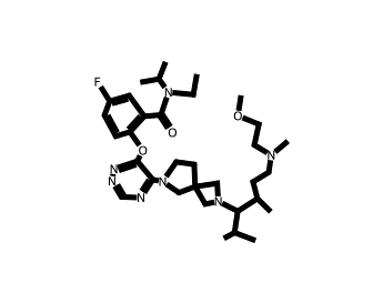 CCN(C(=O)c1cc(F)ccc1Oc1nncnc1N1CCC2(C1)CN(C(C(C)C)C(C)CCN(C)CCOC)C2)C(C)C